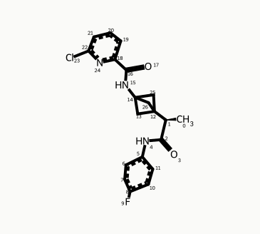 C[C@@H](C(=O)Nc1ccc(F)cc1)C12CC(NC(=O)c3cccc(Cl)n3)(C1)C2